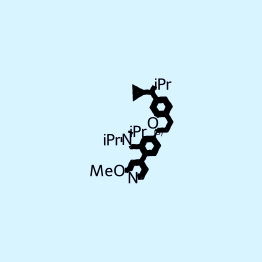 COc1cc(-c2ccc([C@@H]3CCc4ccc(C(C(C)C)C5CC5)cc4O3)cc2CN(C(C)C)C(C)C)ccn1